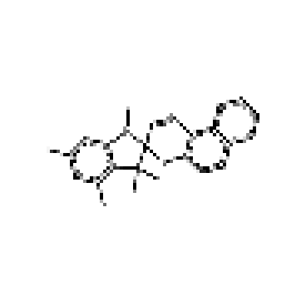 Cc1cc(C)c2c(c1)N(C)C1(C=Nc3c(ccc4ccccc34)O1)C2(C)C